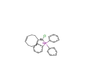 [Cl][Rh]([C]1=CCCC=CCC1)[PH](c1ccccc1)(c1ccccc1)c1ccccc1